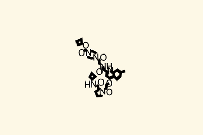 Cc1ccc2c(OCC(=O)N3CCCC3C(=O)NC3CCC3)cc(C(=O)NCC(=O)N3CCN(C(=O)OC4CCC4)CC3)nc2c1